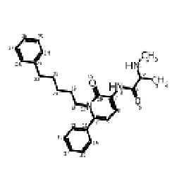 CNC(C)C(=O)Nc1ccc(-c2ccccc2)n(CCCCCc2ccccc2)c1=O